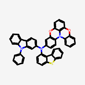 c1ccc(-n2c3ccccc3c3ccc(N(c4ccc5c(c4)Oc4cccc6c4N5c4ccccc4O6)c4cccc5sc6ccccc6c45)cc32)cc1